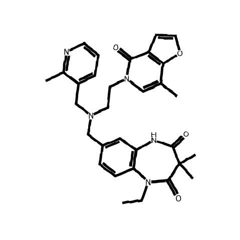 CCN1C(=O)C(C)(C)C(=O)Nc2cc(CN(CCn3cc(C)c4occc4c3=O)Cc3cccnc3C)ccc21